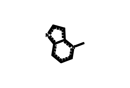 Cn1cccc2nccc1-2